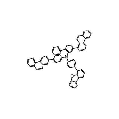 c1ccc(-c2ccc(-c3cccc4c3ccc3ccccc34)cc2N(c2ccc(-c3ccc4c(ccc5ccccc54)c3)cc2)c2ccc(-c3cccc4c3oc3ccccc34)cc2)cc1